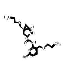 C=CCOCc1ccc(Br)nc1NC(=O)[C@@H]1C[C@]2(COCC=C)C[C@@H]2N1